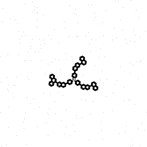 c1ccc2c(-c3ccc4ccc(-c5ccc(N(c6ccc(-c7ccc8ccc(-c9cccc%10ccccc9%10)cc8c7)cc6)c6ccc(-c7ccc8ccc(-c9cc%10ccccc%10c%10ccccc9%10)cc8c7)cc6)cc5)cc4c3)cccc2c1